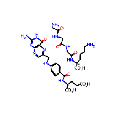 NCCCC[C@H](NC(=O)CNC(=O)CNC(=O)CN)C(=O)O.Nc1nc2ncc(CNc3ccc(C(=O)NC(CCC(=O)O)C(=O)O)cc3)nc2c(=O)[nH]1